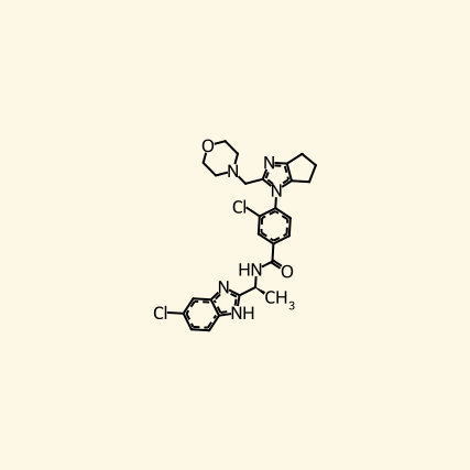 C[C@H](NC(=O)c1ccc(-n2c(CN3CCOCC3)nc3c2CCC3)c(Cl)c1)c1nc2cc(Cl)ccc2[nH]1